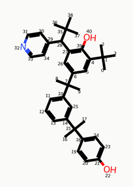 CC(C)(C)c1cc(C(C)(C)c2cccc(C(C)(C)c3ccc(O)cc3)c2)cc(C(c2ccncc2)C(C)(C)C)c1O